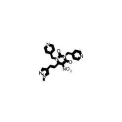 Cn1cc(/C=C/c2c([N+](=O)[O-])c(=O)n(Cc3ccncc3)c(=O)n2Cc2ccncc2)cn1